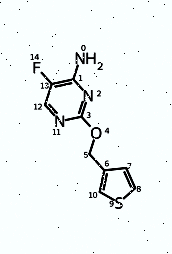 Nc1nc(OCc2ccsc2)ncc1F